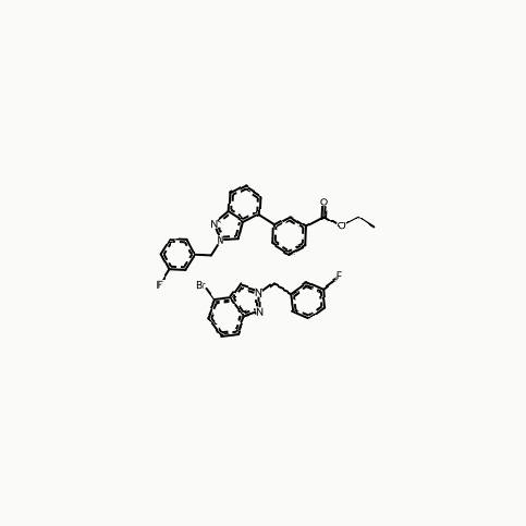 CCOC(=O)c1cccc(-c2cccc3nn(Cc4cccc(F)c4)cc23)c1.Fc1cccc(Cn2cc3c(Br)cccc3n2)c1